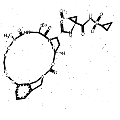 C=C[C@@H]1C[C@]1(NC(=O)[C@@H]1C[C@@H]2CN1C(=O)[C@H](C(C)(C)C)NC(=O)N(C)CCCCCCc1cccc3c1CN(C3)C(=O)O2)C(=O)NS(=O)(=O)C1CC1